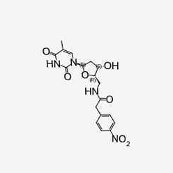 Cc1cn([C@H]2C[C@H](O)[C@@H](CNC(=O)Cc3ccc([N+](=O)[O-])cc3)O2)c(=O)[nH]c1=O